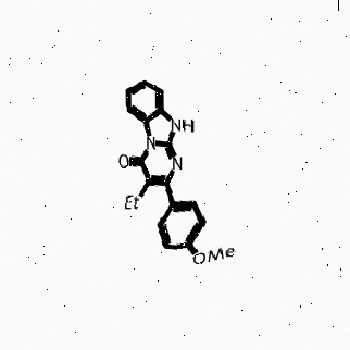 CCc1c(-c2ccc(OC)cc2)nc2[nH]c3ccccc3n2c1=O